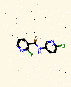 Fc1ncccc1C(=S)Nc1ccc(Cl)nc1